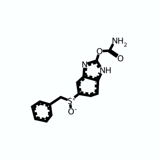 NC(=O)Oc1nc2cc([S+]([O-])Cc3ccccc3)ccc2[nH]1